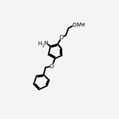 COCCOc1ccc(OCc2ccccc2)cc1N